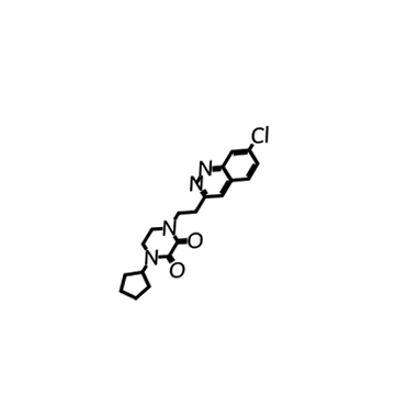 O=C1C(=O)N(C2CCCC2)CCN1CCc1cc2ccc(Cl)cc2nn1